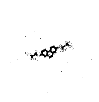 C=C(C)C(=O)Oc1ccc2c(ccc3cc(OC(O)C(=C)C)ccc32)c1